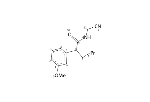 COc1cccc(C(CC(C)C)C(=O)NCC#N)c1